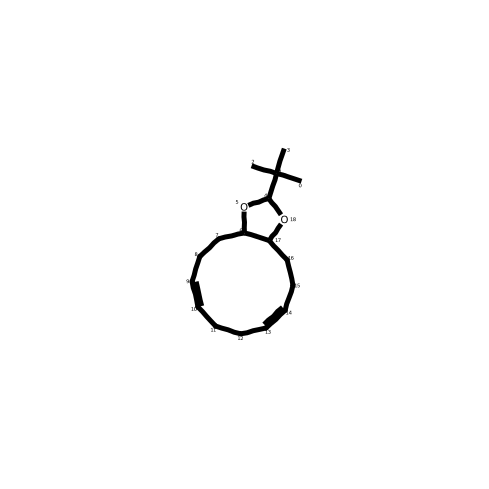 CC(C)(C)C1OC2CCC=CCCC=CCCC2O1